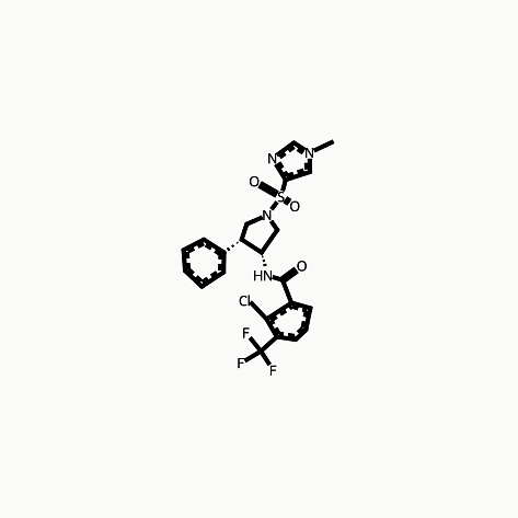 Cn1cnc(S(=O)(=O)N2C[C@H](NC(=O)c3cccc(C(F)(F)F)c3Cl)[C@H](c3ccccc3)C2)c1